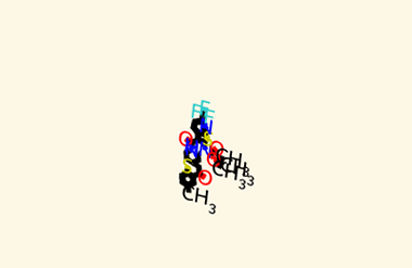 Cc1ccc2c(c1)C(=O)CC1(CCN(C(=O)c3c(NC(=O)OC(C)(C)C)sc4nc(C(F)(F)F)ccc34)CC1)S2